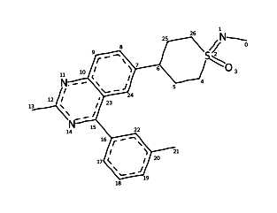 CN=S1(=O)CCC(c2ccc3nc(C)nc(-c4cccc(C)c4)c3c2)CC1